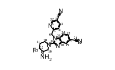 N#Cc1ccc(Cn2c(N3CC[C@@H](F)[C@H](N)C3)nc3cc(C#N)ccc32)nc1